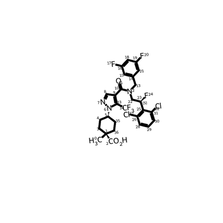 C[C@]1(C(=O)O)CC[C@H](n2ncc(C(=O)N(Cc3cc(F)cc(F)c3)C[C@@H](F)c3c(Cl)cccc3Cl)c2C(F)(F)F)CC1